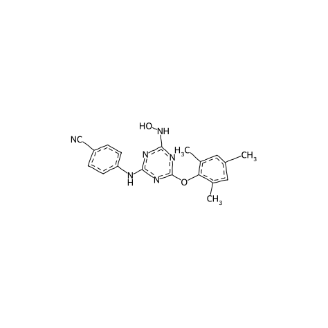 Cc1cc(C)c(Oc2nc(NO)nc(Nc3ccc(C#N)cc3)n2)c(C)c1